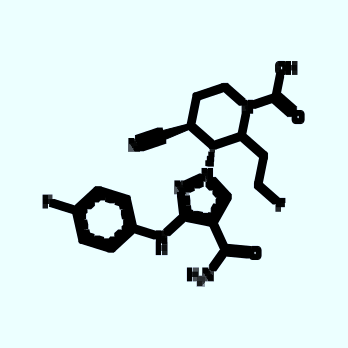 N#C[C@H]1CCN(C(=O)O)C(CCF)[C@@H]1n1cc(C(N)=O)c(Nc2ccc(F)cc2)n1